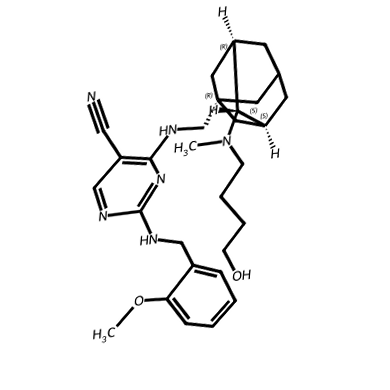 COc1ccccc1CNc1ncc(C#N)c(NC[C@@]23CC4C[C@H](C2)[C@@H](N(C)CCCCO)[C@@H](C4)C3)n1